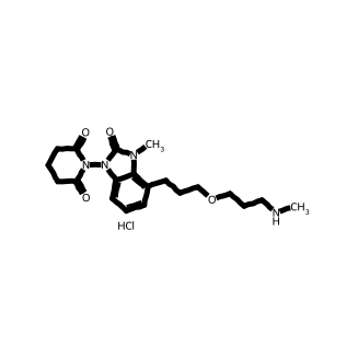 CNCCCOCCCc1cccc2c1n(C)c(=O)n2N1C(=O)CCCC1=O.Cl